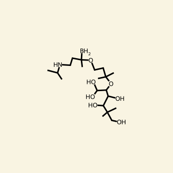 BC(C)(CCNC(C)C)OCCC(C)(C)OC(C(O)O)C(O)C(O)C(C)(C)CO